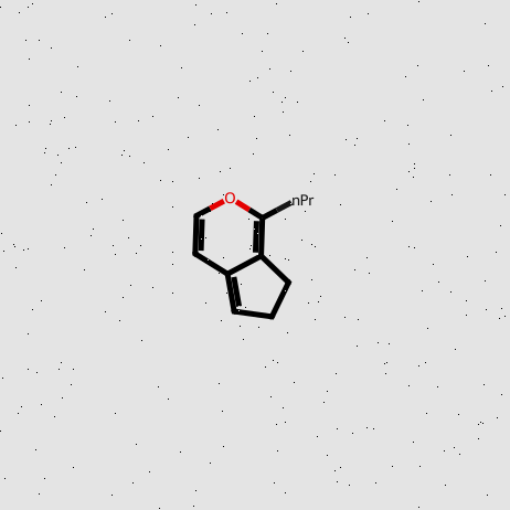 CCCC1=C2CCC=C2C=CO1